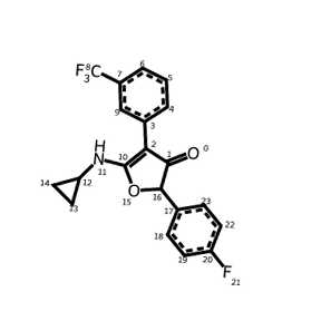 O=C1C(c2cccc(C(F)(F)F)c2)=C(NC2CC2)OC1c1ccc(F)cc1